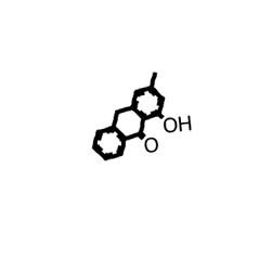 Cc1cc(O)c2c(c1)Cc1ccccc1C2=O